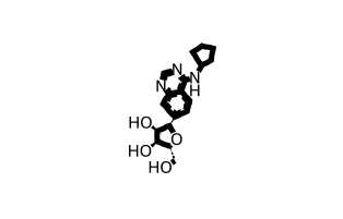 OC[C@H]1O[C@@H](c2ccc3c(NC4CCCC4)ncnc3c2)[C@H](O)[C@@H]1O